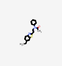 CCc1ccc2nc(/C=C/N(C(C)=O)c3ccccc3)sc2c1